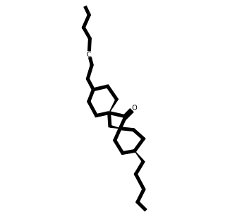 CCCCCCCC1CC[C@]2(CC1)C[C@@]1(CC[C@H](CCCCC)CC1)C2=O